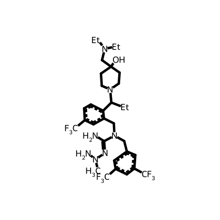 CCC(c1ccc(C(F)(F)F)cc1CN(Cc1cc(C(F)(F)F)cc(C(F)(F)F)c1)/C(N)=N/N(C)N)N1CCC(O)(CN(CC)CC)CC1